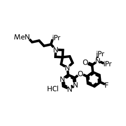 CNCCCC(C(C)C)N1CC2(CCN(c3ncnnc3Oc3ccc(F)cc3C(=O)N(C(C)C)C(C)C)C2)C1.Cl